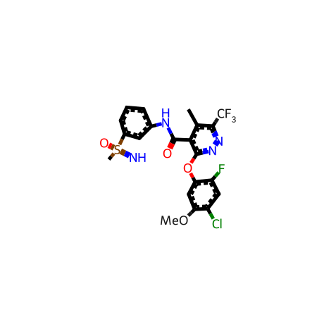 COc1cc(Oc2nnc(C(F)(F)F)c(C)c2C(=O)Nc2cccc(S(C)(=N)=O)c2)c(F)cc1Cl